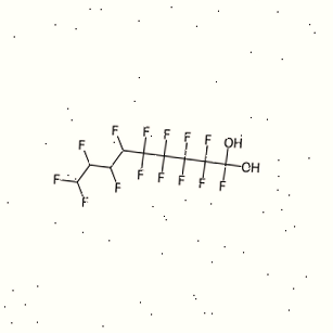 OC(O)(F)C(F)(F)C(F)(F)C(F)(F)C(F)(F)C(F)C(F)C(F)C(F)F